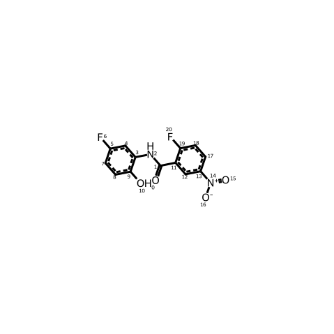 O=C(Nc1cc(F)ccc1O)c1cc([N+](=O)[O-])ccc1F